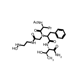 CC(=O)N[C@H](C(=O)N(CC(=O)NCCNO)C(Cc1ccccc1)C(=O)N[C@H](C(N)=O)[C@@H](C)O)C(C)C